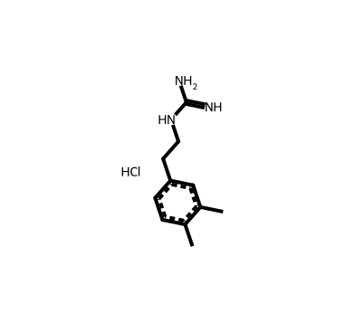 Cc1ccc(CCNC(=N)N)cc1C.Cl